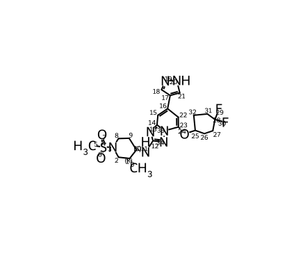 C[C@@H]1CN(S(C)(=O)=O)CC[C@@H]1Nc1nc2cc(-c3cn[nH]c3)cc(OC3CCC(F)(F)CC3)n2n1